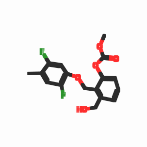 COC(=O)Oc1cccc(CO)c1COc1cc(F)c(C)cc1F